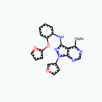 COc1ncnc2c1c(Nc1ccccc1Oc1ccco1)nn2-c1ccoc1